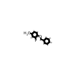 Cc1ccc(OCc2ccccc2)c(F)c1